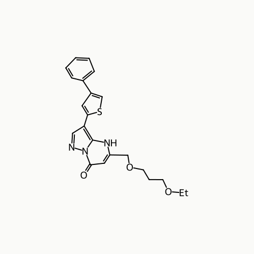 CCOCCCOCc1cc(=O)n2ncc(-c3cc(-c4ccccc4)cs3)c2[nH]1